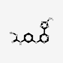 Cn1nnc(-c2cc(Oc3cccc(NC(=O)OC(C)(C)C)c3)ncn2)n1